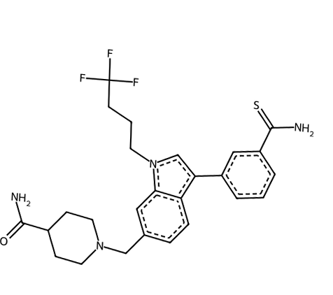 NC(=O)C1CCN(Cc2ccc3c(-c4cccc(C(N)=S)c4)cn(CCCC(F)(F)F)c3c2)CC1